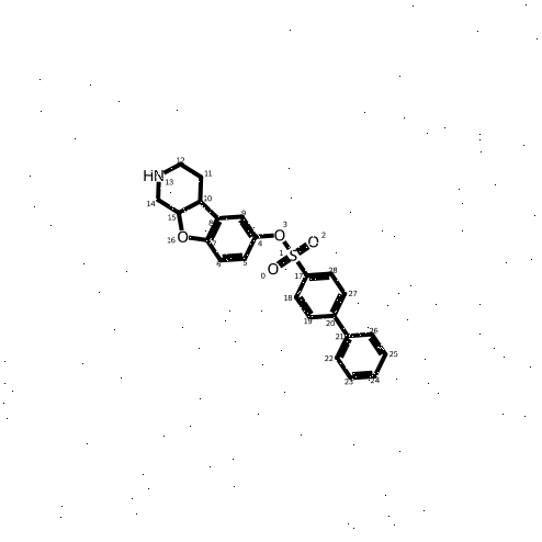 O=S(=O)(Oc1ccc2c(c1)C1CCNCC1O2)c1ccc(-c2ccccc2)cc1